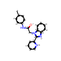 Cc1ccc(NC(=O)Cn2c(-c3ccccn3)nc3ccccc32)cc1